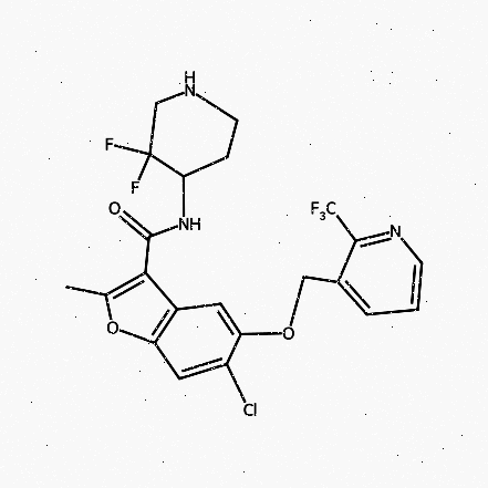 Cc1oc2cc(Cl)c(OCc3cccnc3C(F)(F)F)cc2c1C(=O)NC1CCNCC1(F)F